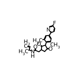 C=CC(C)NC(=O)CC1CC(=O)C(c2c(C)cc(-c3ccc(F)cn3)cc2C)C1=O